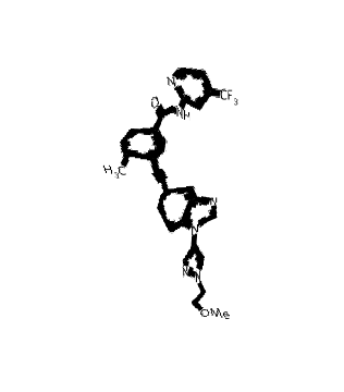 COCCn1cc(-n2cnc3cc(C#Cc4cc(C(=O)Nc5cc(C(F)(F)F)ccn5)ccc4C)ccc32)cn1